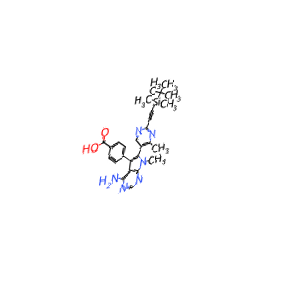 Cc1nc(C#C[Si](C)(C)C(C)(C)C)ncc1-c1c(-c2ccc(C(=O)O)cc2)c2c(N)ncnc2n1C